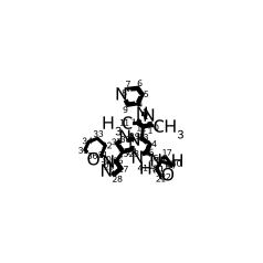 Cc1nn(-c2cccnc2)c(C)c1-c1cc(N2C[C@@H]3C[C@H]2CO3)nc2c(-c3ccnn3C3CCCCO3)cnn12